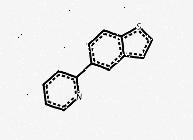 [c]1cc2sccc2cc1-c1ccccn1